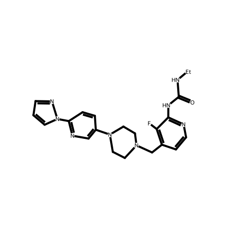 CCNC(=O)Nc1nccc(CN2CCN(c3ccc(-n4cccn4)nc3)CC2)c1F